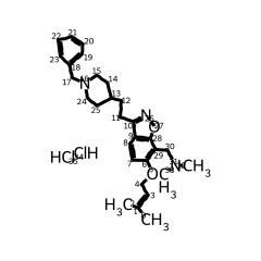 CC(C)=CCOc1ccc2c(CCC3CCN(Cc4ccccc4)CC3)noc2c1CN(C)C.Cl.Cl